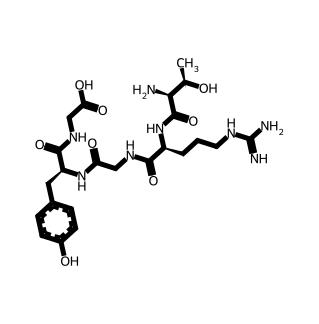 C[C@@H](O)[C@H](N)C(=O)N[C@@H](CCCNC(=N)N)C(=O)NCC(=O)N[C@@H](Cc1ccc(O)cc1)C(=O)NCC(=O)O